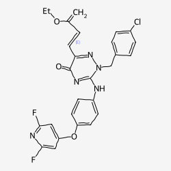 C=C(/C=C/c1nn(Cc2ccc(Cl)cc2)c(Nc2ccc(Oc3cc(F)nc(F)c3)cc2)nc1=O)OCC